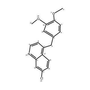 COc1ccc(Cc2ccnc3cc(Cl)ccc23)cc1OC